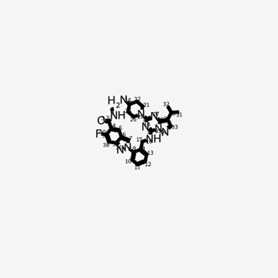 CNC(=O)c1cc2cn(-c3ccccc3CNc3nc(N4CCC(N)CC4)nc4c(C(C)C)cnn34)nc2cc1F